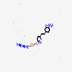 CNc1ccc(/C=C/c2ccc(OCCOCCN=[N+]=[N-])nc2)cc1